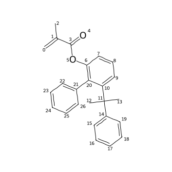 C=C(C)C(=O)Oc1cccc(C(C)(C)c2ccccc2)c1-c1ccccc1